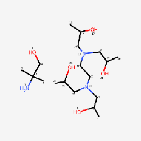 CC(C)(N)CO.CC(O)CN(CCN(CC(C)O)CC(C)O)CC(C)O